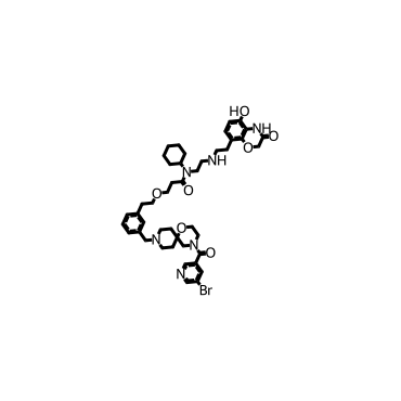 O=C1COc2c(CCNCCN(C(=O)CCOCCc3cccc(CN4CCC5(CC4)CN(C(=O)c4cncc(Br)c4)CCO5)c3)C3CCCCC3)ccc(O)c2N1